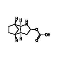 O=C(O)O[C@H]1C[C@H]2[C@@H]3CC[C@@H](C3)[C@H]2N1